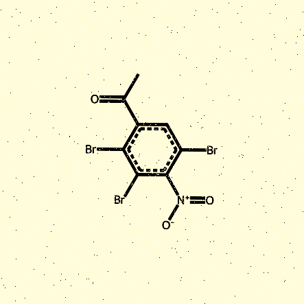 CC(=O)c1cc(Br)c([N+](=O)[O-])c(Br)c1Br